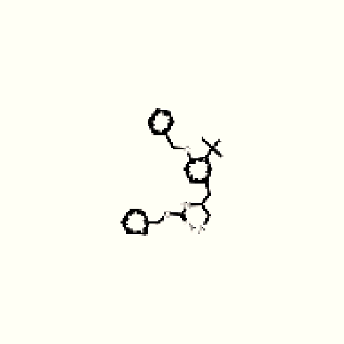 CC(C)(C)c1cc(CC(CN)NC(=O)OCc2ccccc2)ccc1OCc1ccccc1